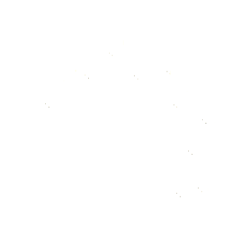 Cl.Cn1cc(NC(=O)c2cc(NC(=O)c3cc(NC(=O)c4cc(N(CCCl)CCCl)cs4)cn3C)cn2C)cc1C(=O)NCCC(=N)N